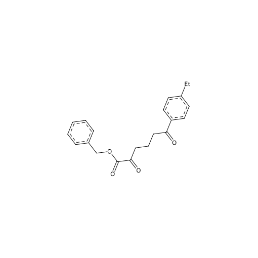 CCc1ccc(C(=O)CCCC(=O)C(=O)OCc2ccccc2)cc1